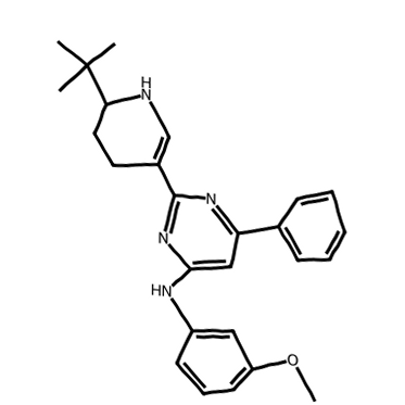 COc1cccc(Nc2cc(-c3ccccc3)nc(C3=CNC(C(C)(C)C)CC3)n2)c1